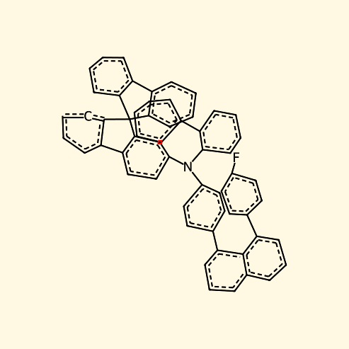 Fc1ccc(-c2cccc3cccc(-c4ccc(N(c5ccc6c(c5)C5(c7ccccc7-c7ccccc75)c5ccccc5-6)c5ccccc5-c5ccccc5)cc4)c23)cc1